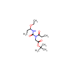 CCOC(CC)NC(=O)N(CC(=O)OC(C)(C)C)C(=O)CC